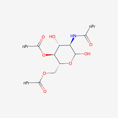 CCCC(=O)N[C@H]1C(O)O[C@H](COC(=O)CCC)[C@@H](OC(=O)CCC)[C@@H]1O